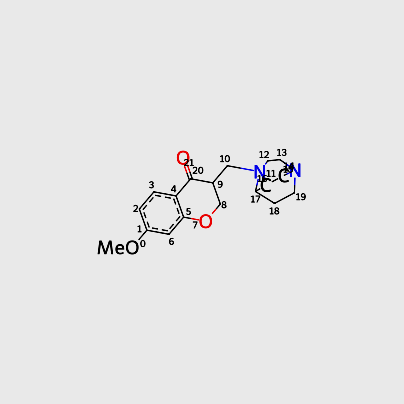 COc1ccc2c(c1)OCC(CN1CCN3CCC1CC3)C2=O